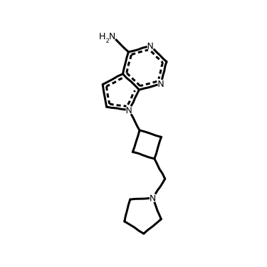 Nc1ncnc2c1ccn2C1CC(CN2CCCC2)C1